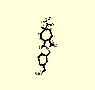 CC(C)(C)CC1CCCC(CN2C(=O)C3CCC(C)(C(=O)NC(C)(C)C)CCC3C2=O)C1